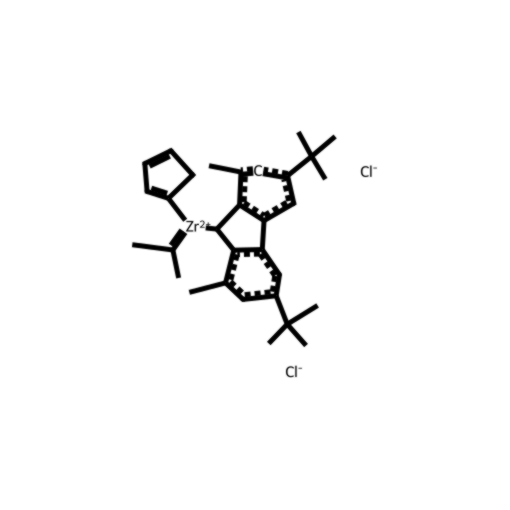 C[C](C)=[Zr+2]([C]1=CC=CC1)[CH]1c2c(C)cc(C(C)(C)C)cc2-c2cc(C(C)(C)C)cc(C)c21.[Cl-].[Cl-]